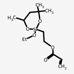 C=CC(=O)OCC[Si]1(OCC)OC(C)CC(C)(C)O1